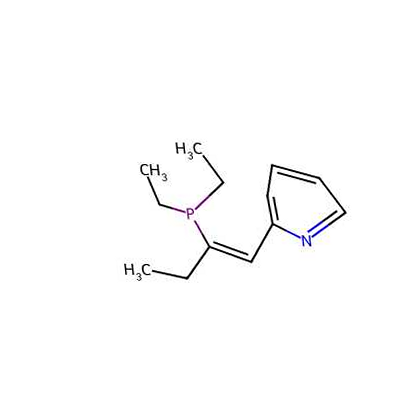 CCC(=Cc1ccccn1)P(CC)CC